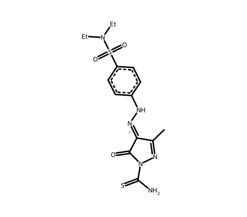 CCN(CC)S(=O)(=O)c1ccc(N/N=C2/C(=O)N(C(N)=S)N=C2C)cc1